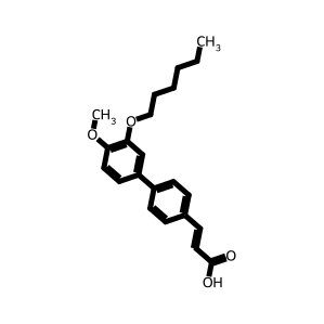 CCCCCCOc1cc(-c2ccc(C=CC(=O)O)cc2)ccc1OC